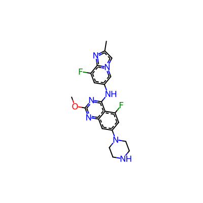 COc1nc(Nc2cc(F)c3nc(C)cn3c2)c2c(F)cc(N3CCNCC3)cc2n1